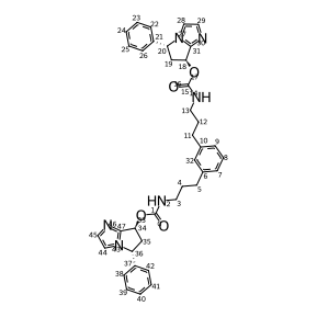 O=C(NCCCc1cccc(CCCNC(=O)O[C@H]2C[C@H](c3ccccc3)n3ccnc32)c1)O[C@H]1C[C@H](c2ccccc2)n2ccnc21